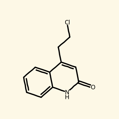 O=c1cc(CCCl)c2ccccc2[nH]1